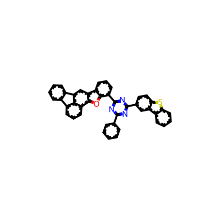 c1ccc(-c2nc(-c3ccc4sc5ccccc5c4c3)nc(-c3cccc4c3oc3c5cccc6c5c(cc43)-c3ccccc3-6)n2)cc1